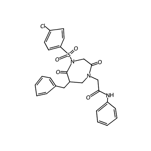 O=C(CN1CC(Cc2ccccc2)C(=O)N(S(=O)(=O)c2ccc(Cl)cc2)CC1=O)Nc1ccccc1